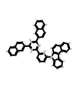 c1cc(-c2nc(-c3ccc4ccccc4c3)nc(-c3ccc4ccccc4c3)n2)nc(-n2c3ccccc3c3c4ccccc4ccc32)c1